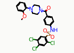 COc1ccccc1N1CCN(C(=O)c2ccc(NS(=O)(=O)c3cc(Cl)c(Cl)cc3Cl)cc2)CC1